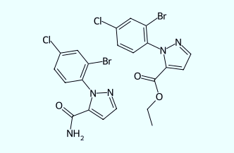 CCOC(=O)c1ccnn1-c1ccc(Cl)cc1Br.NC(=O)c1ccnn1-c1ccc(Cl)cc1Br